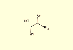 CC(=O)[C@H](N)CC(C)C.Cl